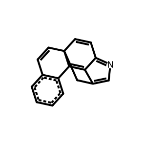 C1=CC23C=Cc4ccccc4C2=C2C(=CN=C12)C3